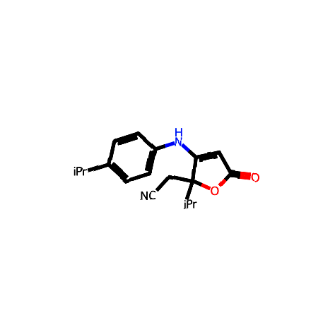 CC(C)c1ccc(NC2=CC(=O)OC2(CC#N)C(C)C)cc1